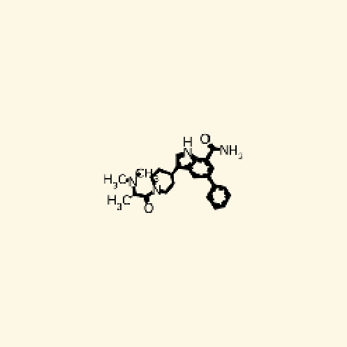 C[C@@H](C(=O)N1CCC(c2c[nH]c3c(C(N)=O)cc(-c4ccccc4)cc23)CC1)N(C)C